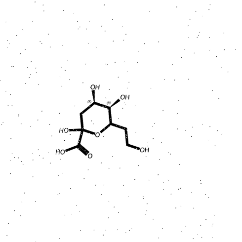 O=C(O)C1(O)C[C@@H](O)[C@@H](O)C(CCO)O1